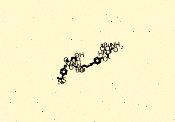 Cc1ncsc1-c1ccc(CNC(=O)[C@@H]2C[C@@H](O)CN2C(=O)[C@@H](NC(=O)CCC#Cc2ccc(CO[C@H](C)[C@H](CCC(N)=O)NC(=O)OC(C)(C)C)cc2)C(C)(C)C)cc1